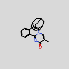 Cc1cn2c3c(c4ccccc4c2nc1=O)C1CC2CC(C1)CC3C2